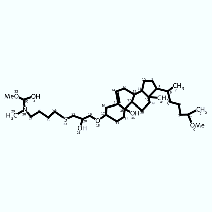 COC(C)CCCC(C)C1CCC2C3CC=C4CC(OCC(O)CSCCCCN(C)C(O)OC)CCC4(O)C3CCC12C